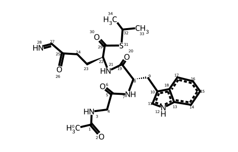 CC(=O)NCC(=O)N[C@@H](Cc1c[nH]c2ccccc12)C(=O)N[C@@H](CCC(=O)C=N)C(=O)SC(C)C